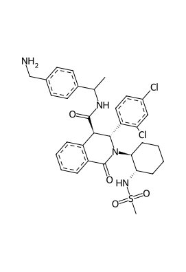 CC(NC(=O)[C@@H]1c2ccccc2C(=O)N([C@H]2CCCC[C@@H]2NS(C)(=O)=O)[C@H]1c1ccc(Cl)cc1Cl)c1ccc(CN)cc1